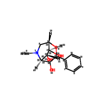 CCCCCCN1C[C@@H]2OC(c3ccccc3)C(O)[C@@H]1[C@@H](O)[C@@H]2O